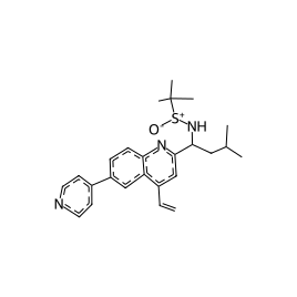 C=Cc1cc(C(CC(C)C)N[S+]([O-])C(C)(C)C)nc2ccc(-c3ccncc3)cc12